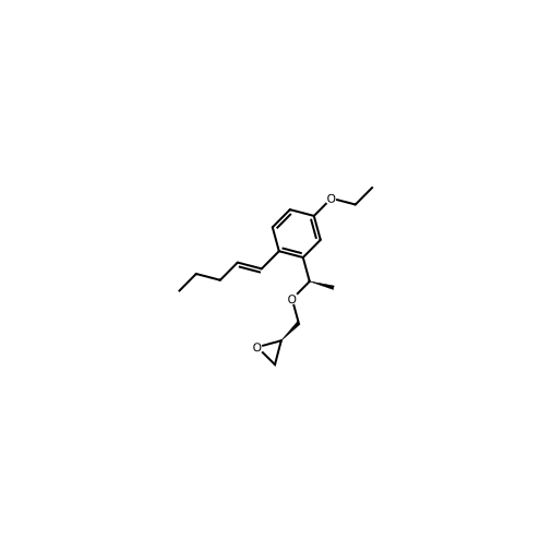 CCC/C=C/c1ccc(OCC)cc1[C@@H](C)OC[C@H]1CO1